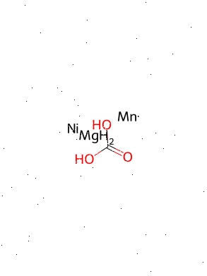 O=C(O)O.[MgH2].[Mn].[Ni]